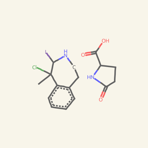 CC1(Cl)c2ccccc2CCNC1I.O=C1CCC(C(=O)O)N1